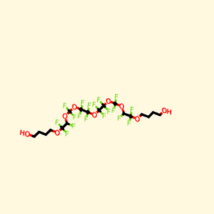 OCCCCOC(F)(F)C(F)OC(F)(F)OC(F)(F)C(F)(F)OC(F)(F)C(F)(F)OC(F)(F)OC(F)C(F)(F)OCCCCO